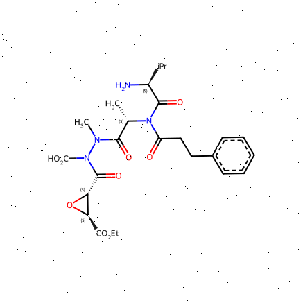 CCOC(=O)[C@H]1O[C@@H]1C(=O)N(C(=O)O)N(C)C(=O)[C@H](C)N(C(=O)CCc1ccccc1)C(=O)[C@@H](N)C(C)C